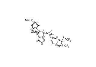 COc1ncc(-c2cc(C3C[C@@H]3c3ccc4nc(C(F)(F)F)c(CC(F)(F)F)n4c3)c3nccn3n2)c(OC)n1